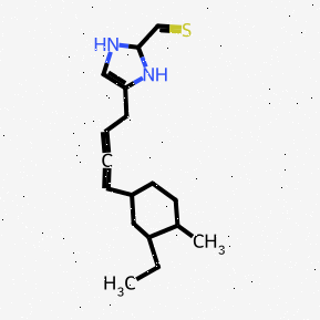 CCC1CC(C=C=CCC2=CNC(C=S)N2)CCC1C